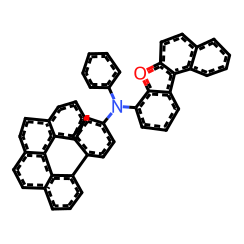 c1ccc(N(c2ccc(-c3cccc4ccc5ccc6ccccc6c5c34)cc2)c2cccc3c2oc2ccc4ccccc4c23)cc1